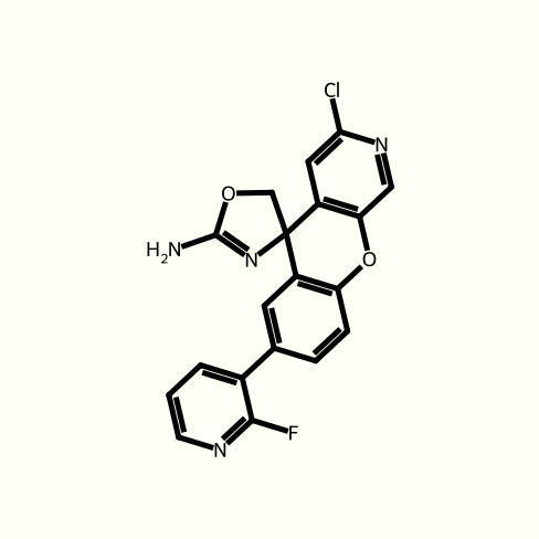 NC1=NC2(CO1)c1cc(-c3cccnc3F)ccc1Oc1cnc(Cl)cc12